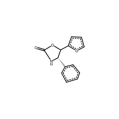 O=C1N[C@@H](c2ccccc2)C(c2ccco2)O1